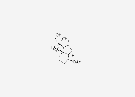 CC(=O)O[C@H]1CCC[C@]2(C)[C@@H](C(C)(C)CO)CC[C@@H]12